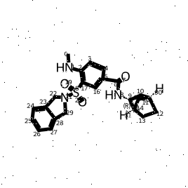 CNc1ccc(C(=O)N[C@@H]2C[C@H]3CC[C@@H]2C3)cc1S(=O)(=O)N1Cc2ccccc2C1